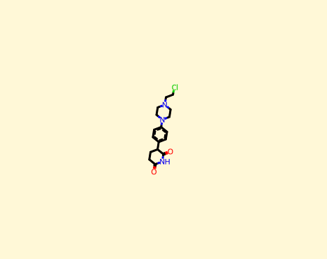 O=C1CCC(c2ccc(N3CCN(CCCl)CC3)cc2)C(=O)N1